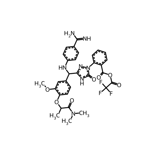 COc1cc(C(Nc2ccc(C(=N)N)cc2)c2nn(-c3ccccc3C(=O)OC(=O)C(F)(F)F)c(=O)[nH]2)ccc1OC(C)C(=O)N(C)C